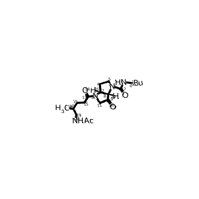 CCC(C)NC(=O)N1CC[C@@H]2[C@H]1C(=O)CN2C(=O)CCC(C)CNC(C)=O